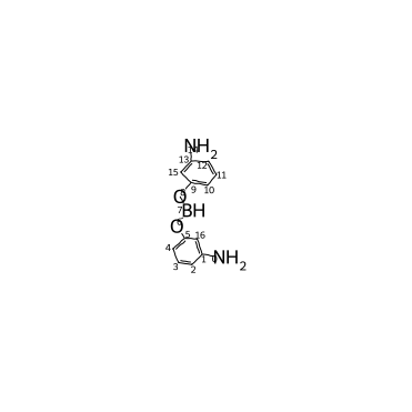 Nc1cccc(OBOc2cccc(N)c2)c1